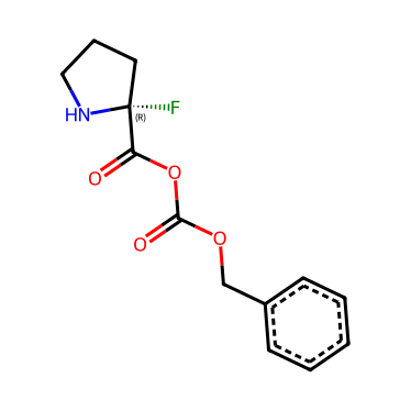 O=C(OCc1ccccc1)OC(=O)[C@]1(F)CCCN1